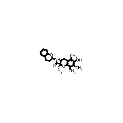 Cc1c(C)c2c(c(C)c1O)CCC(C)(C(=O)NC1CCc3ccccc3O1)O2